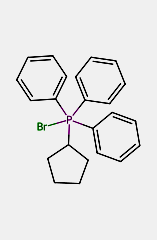 BrP(c1ccccc1)(c1ccccc1)(c1ccccc1)C1CCCC1